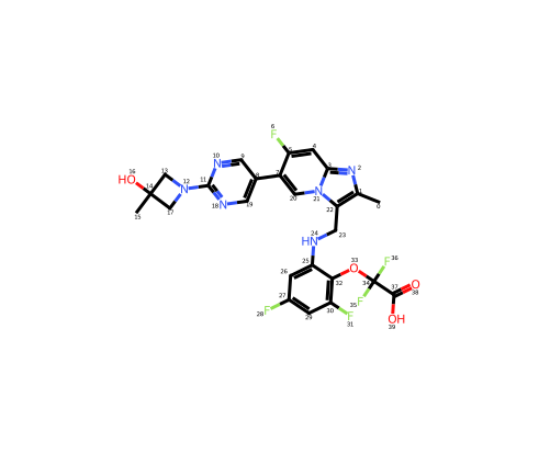 Cc1nc2cc(F)c(-c3cnc(N4CC(C)(O)C4)nc3)cn2c1CNc1cc(F)cc(F)c1OC(F)(F)C(=O)O